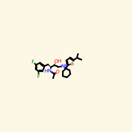 CC(=O)N[C@@H](Cc1cc(F)cc(F)c1)[C@H](O)CNC1(c2ccc(C(C)C)s2)CCCCC1